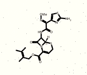 CON=C(C(=O)NC1C(=O)N2C(C(=O)OCC(C)=C(C)C)=CCS[C@@H]12)c1csc(N)n1